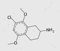 COc1cc(Cl)c(OC)c2c1CCC(N)C2